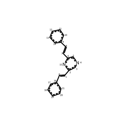 C(=C\c1cncc(/C=C/c2ccccc2)n1)/c1ccccc1